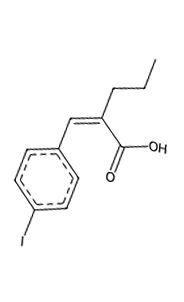 CCCC(=Cc1ccc(I)cc1)C(=O)O